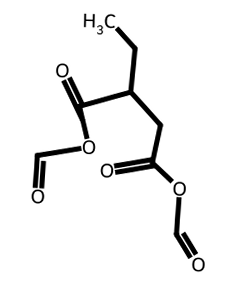 CCC(CC(=O)OC=O)C(=O)OC=O